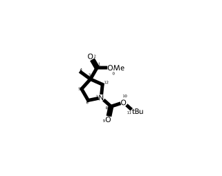 COC(=O)C1(C)CCN(C(=O)OC(C)(C)C)C1